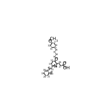 COc1ccc(CCCCOc2ccc(CSc3ccccc3F)nc2C=CC(=O)O)cc1